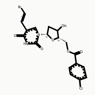 O=C(OC[C@@H]1O[C@H](n2cc(/C=C/Br)c(=O)[nH]c2=O)CC1O)c1ccc(Cl)cc1